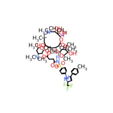 CO[C@]1(C)C[C@H](O[C@H]2[C@H](C)[C@@H](O[C@@H]3O[C@H](C)CC(N(C)C)[C@H]3OC(=O)CCC(=O)NS(=O)(=O)c3ccc(-n4nc(C(F)(F)F)cc4-c4ccc(C)cc4)cc3)[C@](C)(O)C[C@@H](C)CN(C)[C@H](C)[C@@H](O)[C@](C)(O)[C@@H](I)OC(=O)[C@@H]2C)O[C@@H](C)[C@@H]1O